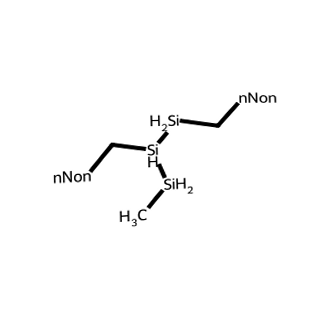 CCCCCCCCCC[SiH2][SiH](CCCCCCCCCC)[SiH2]C